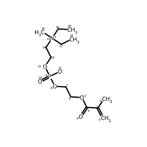 C=C(C)C(=O)OCCOP(=O)([O-])OCC[N+](C)(CC)CC